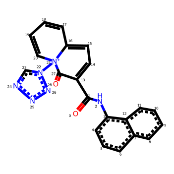 O=C(Nc1cccc2ccccc12)C1=CC=C2C=CC=C[N+]2(n2cnnn2)C1=O